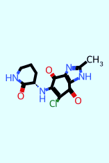 Cc1nc2c([nH]1)C(=O)C(Cl)=C(N[C@H]1CCCNC1=O)C2=O